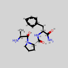 C[C@H](N)C(=O)N1CCC[C@H]1C(=O)N[C@@H](Cc1ccccc1)C(N)=O